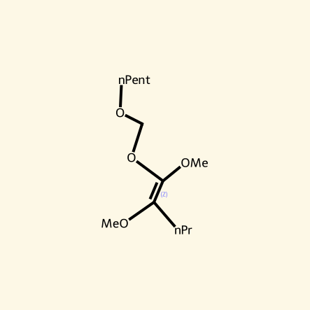 CCCCCOCO/C(OC)=C(/CCC)OC